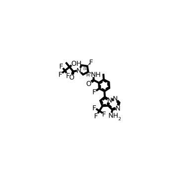 Cc1ccc(-c2cc(C(F)(F)F)c3c(N)ncnn23)c(F)c1C(=O)N[C@@H]1CN(C(=O)C(C)(O)C(F)(F)F)C[C@@H]1F